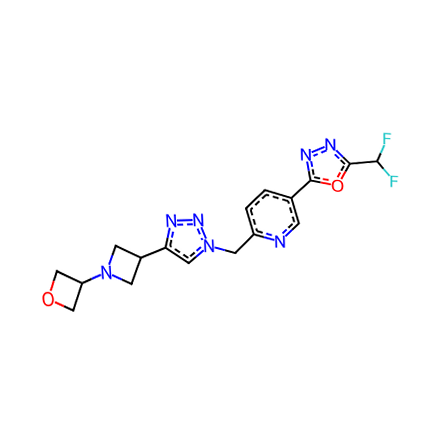 FC(F)c1nnc(-c2ccc(Cn3cc(C4CN(C5COC5)C4)nn3)nc2)o1